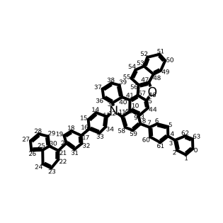 c1ccc(-c2ccc(-c3ccc(N(c4ccc(-c5ccc(-c6cccc7ccccc67)cc5)cc4)c4ccccc4-c4cccc5oc6c7ccccc7ccc6c45)cc3)cc2)cc1